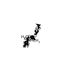 CCc1cc([SH]2NN(c3cnc(C#N)c(C(F)(F)F)c3)C(=O)C2(C)C)ccc1OCCC1CCN(OC(=O)C2CC2)CC1